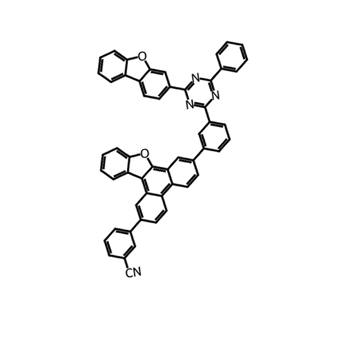 N#Cc1cccc(-c2ccc3c4ccc(-c5cccc(-c6nc(-c7ccccc7)nc(-c7ccc8c(c7)oc7ccccc78)n6)c5)cc4c4oc5ccccc5c4c3c2)c1